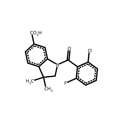 CC1(C)CN(C(=O)c2c(F)cccc2Cl)c2cc(C(=O)O)ccc21